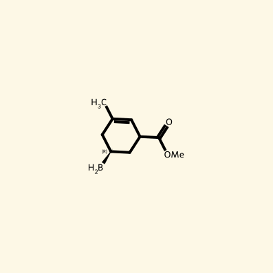 B[C@H]1CC(C)=CC(C(=O)OC)C1